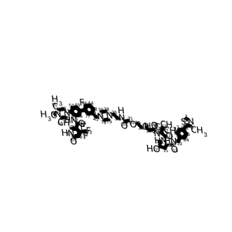 Cc1ncsc1-c1ccc(CNC(=O)[C@@H]2C[C@@H](O)CN2C(=O)[C@@H](NC(=O)COCCOCC(=O)NCCN2CCN(Cc3ccc(F)c(-c4ccc(N5C[C@@H](C)N(C)[C@@H](C)C5)c(NC(=O)c5c[nH]c(=O)cc5C(F)(F)F)c4)c3)CC2)C(C)(C)C)cc1